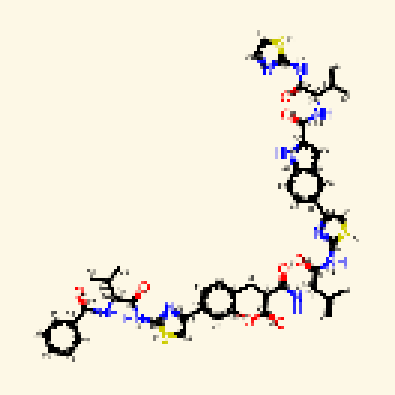 C=C(C)[C@H](NC(=O)C1Cc2ccc(-c3csc(NC(=O)[C@@H](NC(=O)c4ccccc4)C(C)C)n3)cc2OC1=O)C(=O)Nc1nc(-c2ccc3[nH]c(C(=O)N[C@H](C(=O)Nc4nccs4)C(C)C)cc3c2)cs1